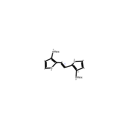 CCCCCCc1ccsc1/C=C/c1sccc1CCCCCC